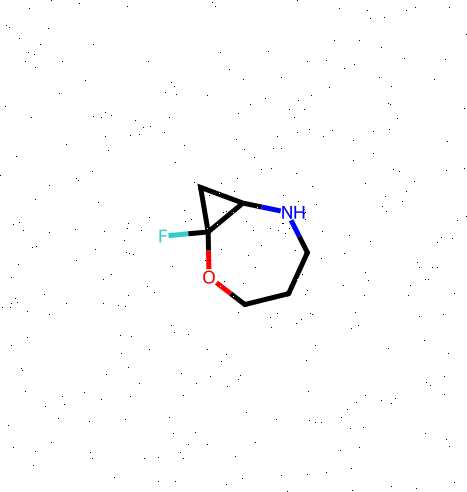 FC12CC1NCCCO2